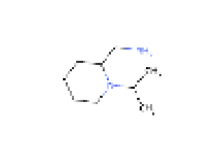 CC(C)N1CCCCC1CN